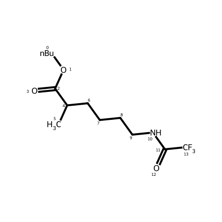 CCCCOC(=O)C(C)CCCCNC(=O)C(F)(F)F